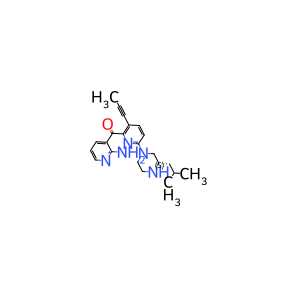 CC#Cc1ccc(N2CCN[C@@H](CC(C)C)C2)nc1C(=O)c1cccnc1N